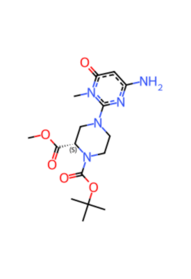 COC(=O)[C@@H]1CN(c2nc(N)cc(=O)n2C)CCN1C(=O)OC(C)(C)C